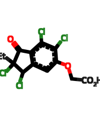 CCC1(Cl)C(=O)c2c(cc(OCC(=O)O)c(Cl)c2Cl)C1Cl